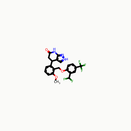 COc1cccc(C2CC(=O)Nc3n[nH]cc32)c1COc1ccc(C(F)(F)F)cc1C(F)F